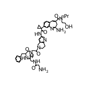 CCCN(CCO)C(=O)C1=Cc2ccc(C3(C(=O)Nc4cnc5c(c4)CN(C(=O)CNC(=O)C(Cc4ccccc4)NC(=O)CNC(=O)CN)CC5)CC3)cc2N=C(N)C1